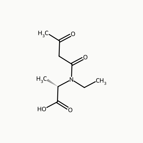 CCN(C(=O)CC(C)=O)[C@@H](C)C(=O)O